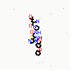 Cc1cc(Oc2ccccc2)ccc1N1C(=O)Nc2c(C(=O)NC3CCCN(C(=O)/C(C#N)=C/C4(C)COC4)C3)sc3nccc1c23